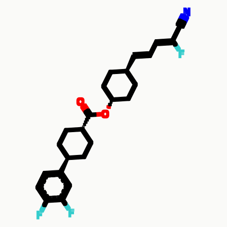 N#CC(F)=CC=C[C@H]1CC[C@H](OC(=O)[C@H]2CC[C@H](c3ccc(F)c(F)c3)CC2)CC1